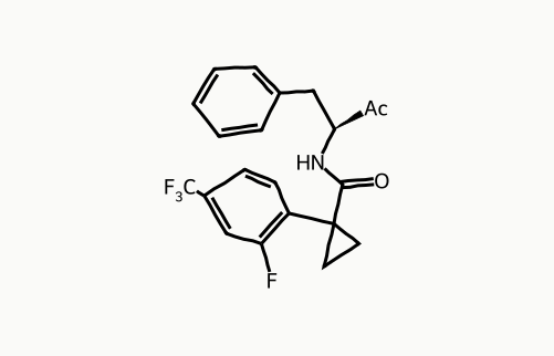 CC(=O)[C@H](Cc1ccccc1)NC(=O)C1(c2ccc(C(F)(F)F)cc2F)CC1